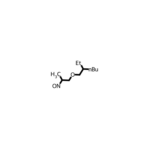 CCCCC(CC)COCC(C)N=O